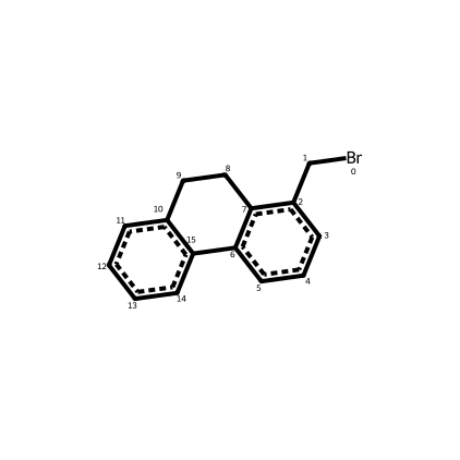 BrCc1cccc2c1CCc1ccccc1-2